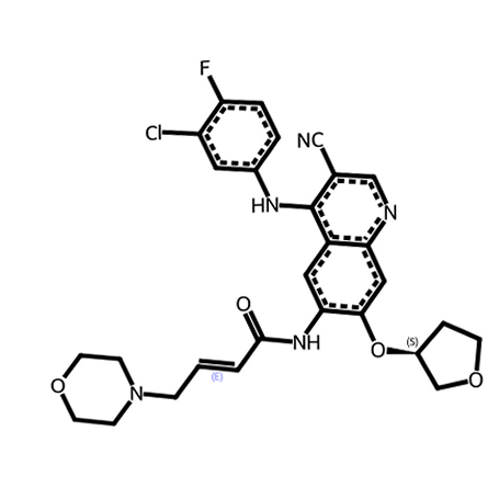 N#Cc1cnc2cc(O[C@H]3CCOC3)c(NC(=O)/C=C/CN3CCOCC3)cc2c1Nc1ccc(F)c(Cl)c1